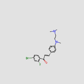 CN(C)CCN(C)c1ccc(/C=C/C(=O)c2ccc(Br)cc2F)cc1